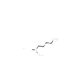 CNCCCCN(C(=O)O)C(C)(C)C